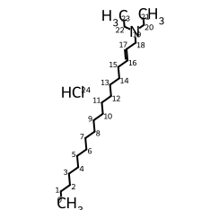 CCCCCCCCCCCCCCCCC=CCN(CC)CC.Cl